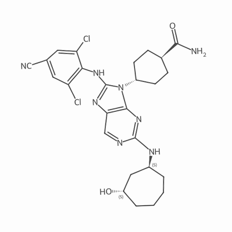 N#Cc1cc(Cl)c(Nc2nc3cnc(N[C@H]4CCCC[C@H](O)C4)nc3n2[C@H]2CC[C@H](C(N)=O)CC2)c(Cl)c1